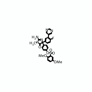 COc1ccc(OC)c(S(=O)(=O)Oc2ccc(C3(c4ccc(F)c(-c5cncnc5)c4)N=C(N)N(C)C3=O)cc2)c1